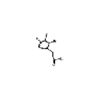 O=C(Cl)CCc1ccc(F)c(F)c1Br